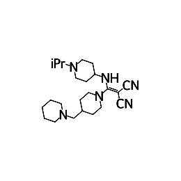 CC(C)N1CCC(NC(=C(C#N)C#N)N2CCC(CN3CCCCC3)CC2)CC1